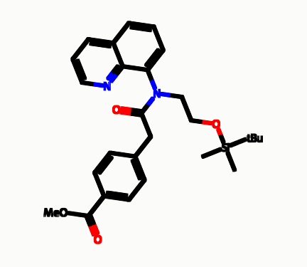 COC(=O)c1ccc(CC(=O)N(CCO[Si](C)(C)C(C)(C)C)c2cccc3cccnc23)cc1